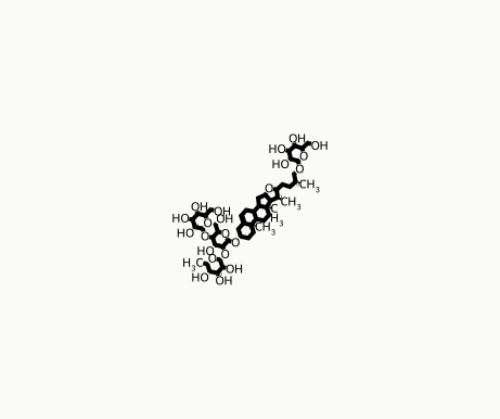 CC1OC(OC2C(OC3CC[C@@]4(C)C(=CCC5C6CC7OC(CC[C@@H](C)COC8OC(CO)C(O)C(O)C8O)[C@@H](C)C7[C@@]6(C)CCC54)C3)OC(CO)C(OC3OC(CO)C(O)C(O)[C@@H]3O)C2O)C(O)[C@@H](O)C1O